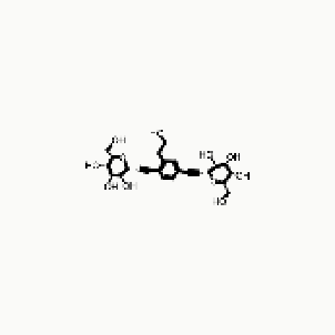 OCCc1cc(C#C[C@H]2O[C@H](CO)[C@@H](O)[C@H](O)[C@@H]2O)ccc1C#C[C@H]1O[C@H](CO)[C@@H](O)[C@H](O)[C@@H]1O